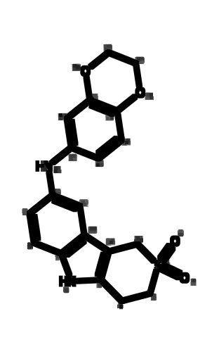 O=S1(=O)CCc2[nH]c3ccc(Nc4ccc5c(c4)OCCO5)cc3c2C1